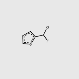 FC(Cl)c1cccs1